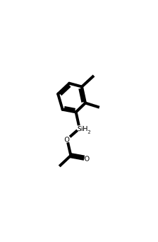 CC(=O)O[SiH2]c1cccc(C)c1C